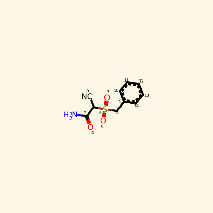 N#CC(C(N)=O)S(=O)(=O)Cc1ccccc1